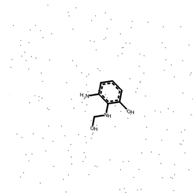 Nc1cccc(O)c1NCO